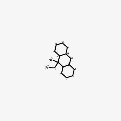 CC(C)CC1(C#N)C2CCCCC2CC2CCCCC21